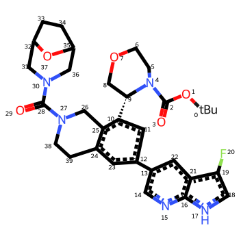 CC(C)(C)OC(=O)N1CCOC[C@H]1c1cc(-c2cnc3[nH]cc(F)c3c2)cc2c1CN(C(=O)N1CC3CCC(C1)O3)CC2